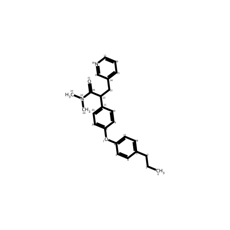 CCCc1ccc(Oc2ccc(C(Cc3cccnc3)C(=O)N(C)C)cc2)cc1